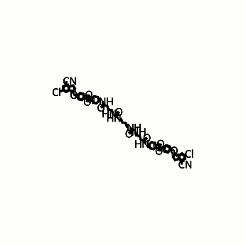 N#Cc1cc(Cl)cc2c1CC[C@H]2Oc1ccc(S(=O)(=O)N2CCC(NC(=O)CCCNC(=O)NCCCCNC(=O)NCCCC(=O)NC3CCN(S(=O)(=O)c4ccc(O[C@@H]5CCc6c(C#N)cc(Cl)cc65)cc4)CC3)CC2)cc1